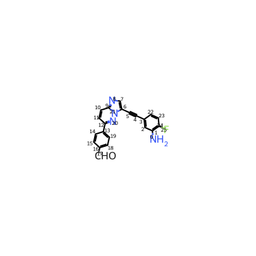 Nc1cc(C#Cc2cnc3ccc(-c4ccc(C=O)cc4)nn23)ccc1F